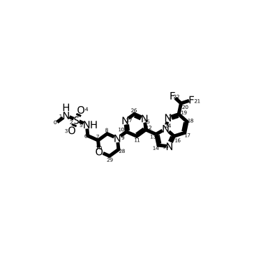 CNS(=O)(=O)NCC1CN(c2cc(-c3cnc4ccc(C(F)F)nn34)ncn2)CCO1